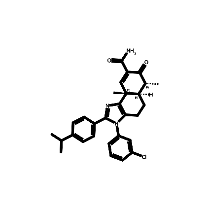 CC(C)c1ccc(-c2nc3c(n2-c2cccc(Cl)c2)CC[C@@H]2[C@@H](C)C(=O)C(C(N)=O)=C[C@@]32C)cc1